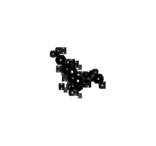 C=C(C)[C@@H]1CC[C@]2(NC(=O)CN3C(=O)COc4ccc(Cl)cc43)CC[C@]3(C)[C@H](CC[C@@H]4[C@@]5(C)CC=C(c6ccc(C(=O)O)cc6)C(C)(C)[C@@H]5CC[C@]43C)[C@@H]12